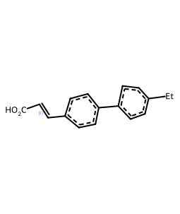 CCc1ccc(-c2ccc(/C=C/C(=O)O)cc2)cc1